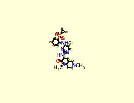 CN1CCc2c(cc(Nc3ncc(Cl)c(Nc4ccccc4S(=O)(=O)C4CC4)n3)c(=O)n2C)C1